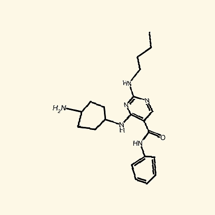 CCCCNc1ncc(C(=O)Nc2ccccc2)c(NC2CCC(N)CC2)n1